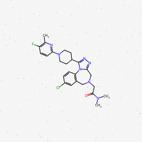 Cc1nc(N2CCC(c3nnc4n3-c3ccc(Cl)cc3CN(CC(=O)N(C)C)C4)CC2)ccc1F